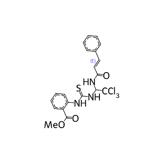 COC(=O)c1ccccc1NC(=S)NC(NC(=O)/C=C/c1ccccc1)C(Cl)(Cl)Cl